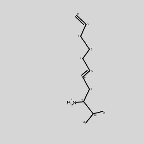 C=CCCCC=CCC(N)C(C)C